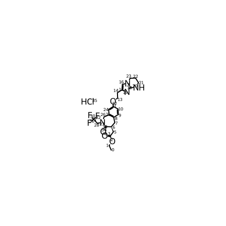 CCOC(=O)C[C@@H]1Cc2ccc(OCCc3cn4c(n3)NCCC4)cc2CN(CC(F)(F)F)C1=O.Cl